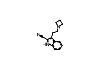 N#Cc1[nH]c2ccccc2c1CCN1CCC1